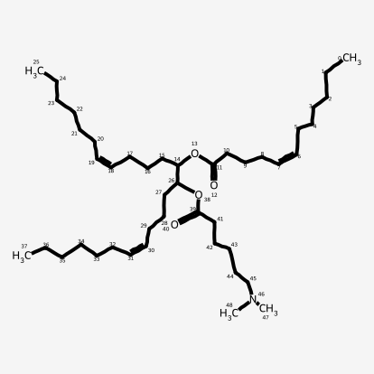 CCCCCC/C=C\CCCC(=O)OC(CCC/C=C\CCCCCC)C(CCC/C=C\CCCCCC)OC(=O)CCCCCN(C)C